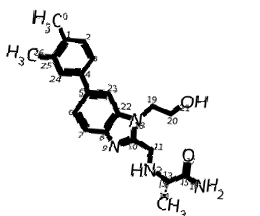 Cc1ccc(-c2ccc3nc(CN[C@@H](C)C(N)=O)n(CCO)c3c2)cc1C